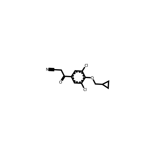 N#CCC(=O)c1cc(Cl)c(OCC2CC2)c(Cl)c1